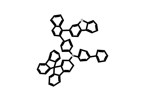 C1=C2C(=CC(N(c3ccc(-c4ccccc4)cc3)c3ccc(-c4ccc5ccccc5c4-c4ccc5c(c4)oc4ccccc45)cc3)C1)C1(c3ccccc32)c2ccccc2-c2ccccc21